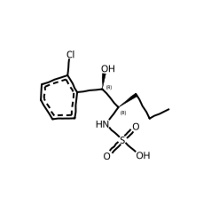 CCC[C@@H](NS(=O)(=O)O)[C@H](O)c1ccccc1Cl